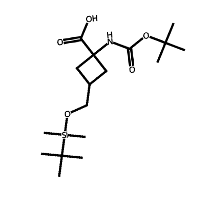 CC(C)(C)OC(=O)NC1(C(=O)O)CC(CO[Si](C)(C)C(C)(C)C)C1